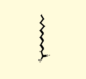 CCCCC=CC=CC=CCC(=O)O